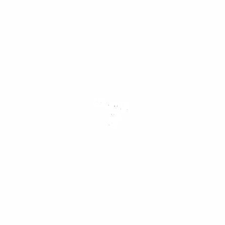 [Al].[Cu].[MgH2].[Mn].[Zn]